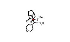 CC(C)(C)OC(=O)N1C2CCC1C(=O)C(C(C(=O)O)N1CCOCC1)C2